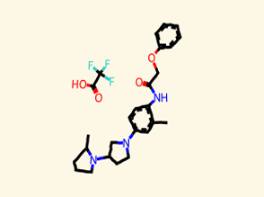 Cc1cc(N2CCC(N3CCCC3C)C2)ccc1NC(=O)COc1ccccc1.O=C(O)C(F)(F)F